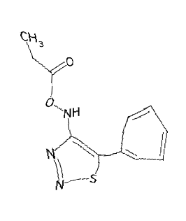 CCC(=O)ONc1nnsc1-c1ccccc1